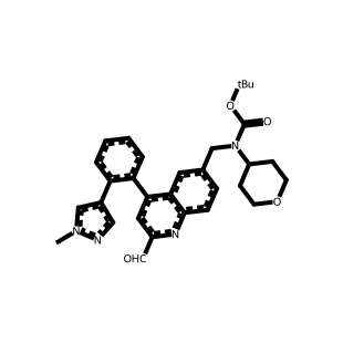 Cn1cc(-c2ccccc2-c2cc(C=O)nc3ccc(CN(C(=O)OC(C)(C)C)C4CCOCC4)cc23)cn1